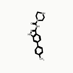 Cc1ccc(-c2ccc3c(NC(=O)N4CCNCC4)n[nH]c3c2)cc1